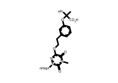 CCCCCCCn1nc(OCCc2cccc(OC(C)(CCC)C(=O)O)c2)c(=O)n(C)c1=O